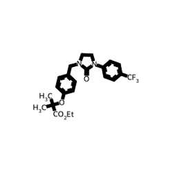 CCOC(=O)C(C)(C)Oc1ccc(CN2CCN(c3ccc(C(F)(F)F)cc3)C2=O)cc1